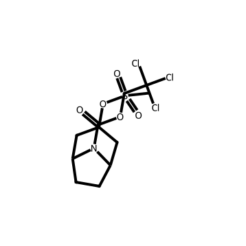 CS(=O)(=O)OC1CC2CCC(C1)N2C(=O)OCC(Cl)(Cl)Cl